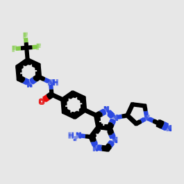 N#CN1CCC(n2nc(-c3ccc(C(=O)Nc4cc(C(F)(F)F)ccn4)cc3)c3c(N)ncnc32)C1